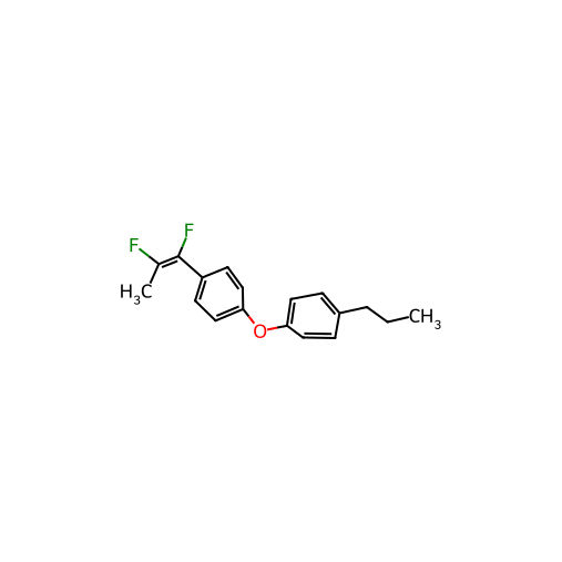 CCCc1ccc(Oc2ccc(/C(F)=C(\C)F)cc2)cc1